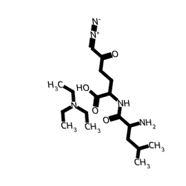 CC(C)CC(N)C(=O)NC(CCC(=O)C=[N+]=[N-])C(=O)O.CCN(CC)CC